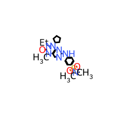 CCN1C(=O)N(C)c2cnc(Nc3ccc(S(=O)(=O)N(C)C)cc3)nc2N1C1CCCC1